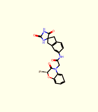 CC(C)[C@@H]1Oc2ccccc2N(CC(=O)Nc2ccc3c(c2)CC2(C3)NC(=O)NC2=O)C1=O